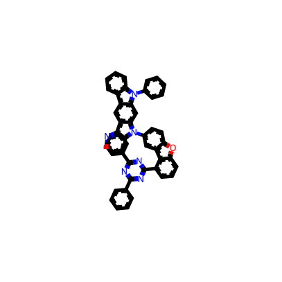 c1ccc(-c2nc(-c3ccccc3)nc(-c3cccc4oc5ccc(-n6c7cc8c(cc7c7ncccc76)c6ccccc6n8-c6ccccc6)cc5c34)n2)cc1